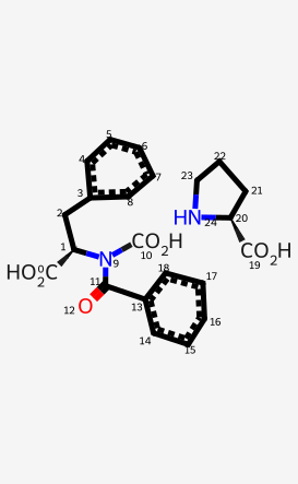 O=C(O)[C@@H](Cc1ccccc1)N(C(=O)O)C(=O)c1ccccc1.O=C(O)[C@@H]1CCCN1